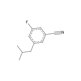 CC(C)Cc1cc(F)cc(C#N)c1